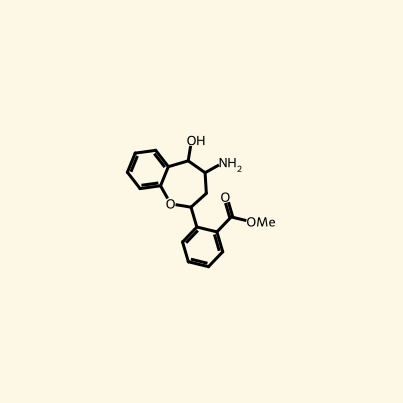 COC(=O)c1ccccc1C1CC(N)C(O)c2ccccc2O1